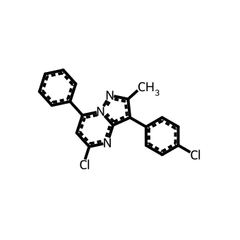 Cc1nn2c(-c3ccccc3)cc(Cl)nc2c1-c1ccc(Cl)cc1